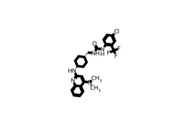 CN(C)c1cc(N[C@H]2CC[C@@H](CNC(=O)Nc3ccc(Cl)cc3C(F)(F)F)CC2)nc2ccccc12